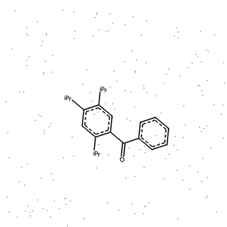 CC(C)c1cc(C(C)C)c(C(C)C)cc1C(=O)c1ccccc1